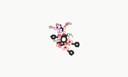 CCCCOCOC(C(=O)O[C@H]1C[C@@]2(O)[C@@H](OC(=O)c3ccccc3)[C@@H]3[C@]4(OC(C)=O)CO[C@@H]4C[C@H](OC(=O)OCc4ccccc4)[C@@]3(C)C(=O)C(OC(=O)OCc3ccccc3)C(=C1C)C2(C)C)[C@H](CC(C)C)NC(=O)OC(C)(C)C